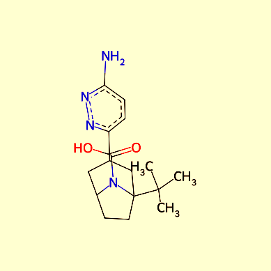 CC(C)(C)C12CCC(CC(c3ccc(N)nn3)C1)N2C(=O)O